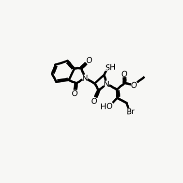 COC(=O)C(=C(O)CBr)N1C(=O)C(N2C(=O)c3ccccc3C2=O)C1S